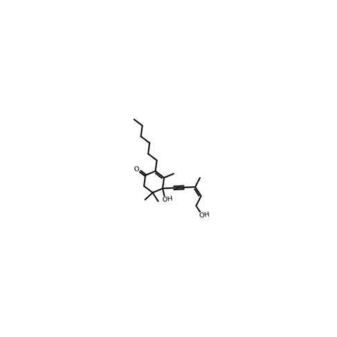 CCCCCCC1=C(C)C(O)(C#C/C(C)=C\CO)C(C)(C)CC1=O